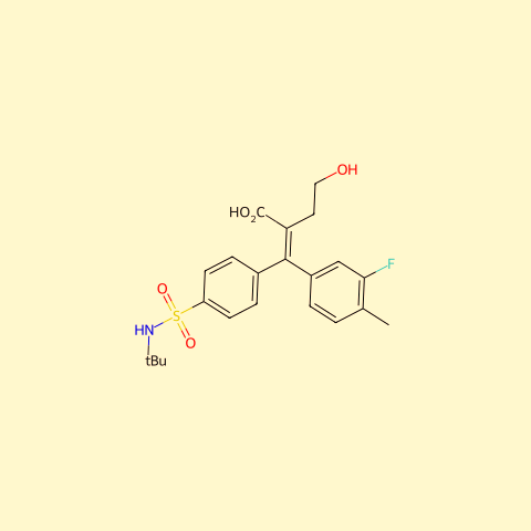 Cc1ccc(C(=C(CCO)C(=O)O)c2ccc(S(=O)(=O)NC(C)(C)C)cc2)cc1F